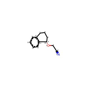 N#CCO[C@H]1CCCc2ccccc21